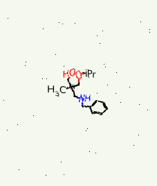 CC(C)OC[C@@](C)(CO)CNCc1ccccc1